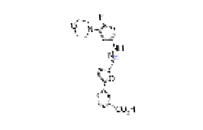 O=C(O)c1cccc(-c2ccc(/C=N/Nc3ccc(F)c(N4CCOCC4)c3)o2)c1